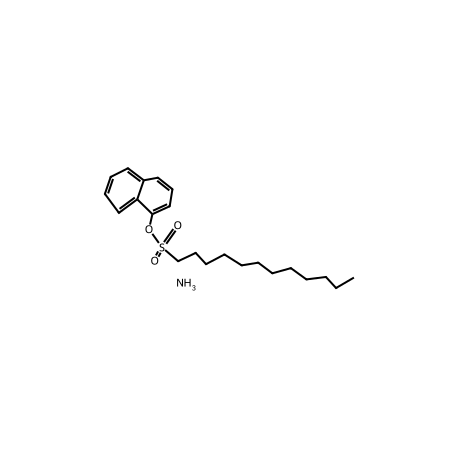 CCCCCCCCCCCCS(=O)(=O)Oc1cccc2ccccc12.N